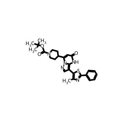 Cc1nc(-c2ccccc2)sc1-c1cnn2c(C3CCN(C(=O)OC(C)(C)C)CC3)cc(=O)[nH]c12